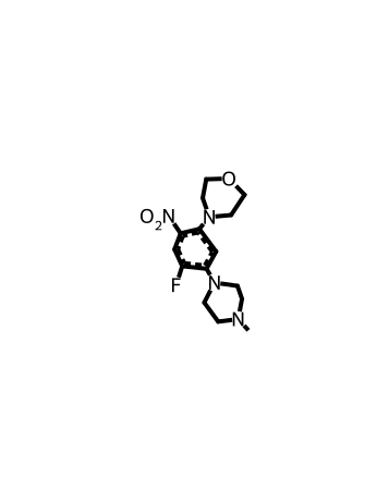 CN1CCN(c2cc(N3CCOCC3)c([N+](=O)[O-])cc2F)CC1